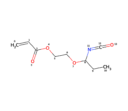 C=CC(=O)OCCOC(CC)N=C=O